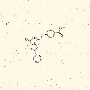 COC(=O)c1ccc(CCCN2CC(c3ccccc3)O[C@]2(C)C(=O)O)cc1